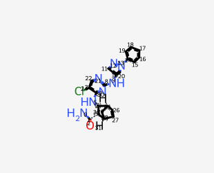 NC(=O)[C@@H]1[C@H](Nc2nc(Nc3cnn(-c4ccccc4)c3)ncc2Cl)[C@H]2C=C[C@@H]1C2